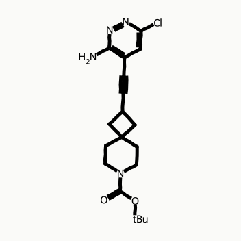 CC(C)(C)OC(=O)N1CCC2(CC1)CC(C#Cc1cc(Cl)nnc1N)C2